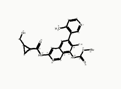 Cc1ccncc1-c1cc2cc(NC(=O)C3CC3CO)ncc2c(NC(=O)OC(C)(C)C)c1F